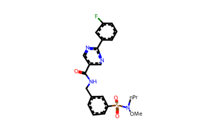 CCCN(OC)S(=O)(=O)c1cccc(CNC(=O)c2cnc(-c3cccc(F)c3)nc2)c1